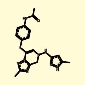 CC(=O)Nc1ccc(SC2=CN(Nc3cc(C)[nH]n3)Cc3nc(C)nn32)cc1